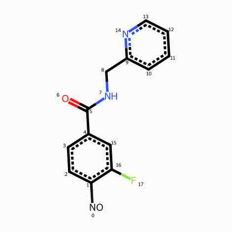 O=Nc1ccc(C(=O)NCc2ccccn2)cc1F